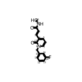 O=C(/C=C/c1cccn(Cc2cccc(F)c2)c1=O)NO